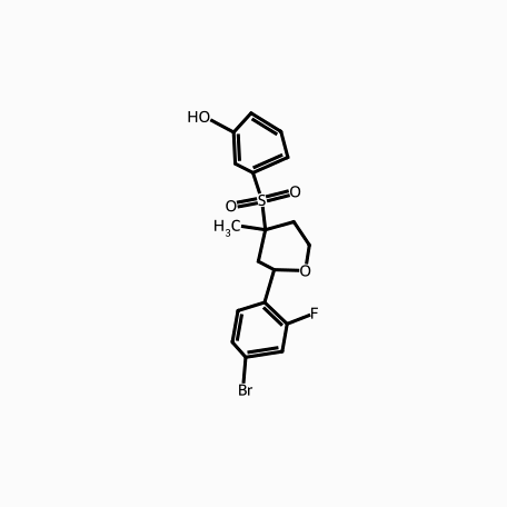 CC1(S(=O)(=O)c2cccc(O)c2)CCOC(c2ccc(Br)cc2F)C1